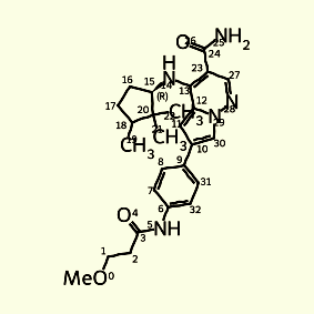 COCCC(=O)Nc1ccc(-c2cc3c(N[C@@H]4CCC(C)C4(C)C)c(C(N)=O)cnn3c2)cc1